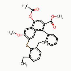 CCc1cccc(CC)c1Sc1cc2c(-c3ccccc3)c(C(=O)OC)cc(OC(C)=O)c2cc1OC